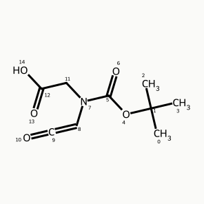 CC(C)(C)OC(=O)N(C=C=O)CC(=O)O